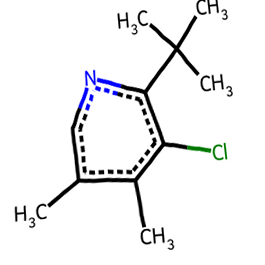 Cc1cnc(C(C)(C)C)c(Cl)c1C